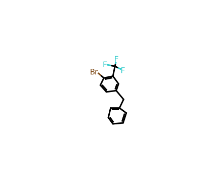 FC(F)(F)c1cc(Cc2ccccc2)ccc1Br